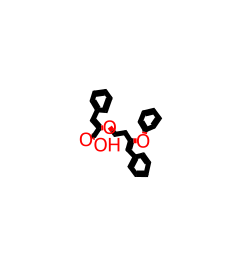 O=C(O)C(=Cc1ccccc1)OCCC(=Cc1ccccc1)Oc1ccccc1